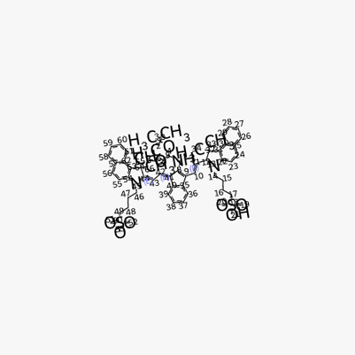 CC(C)(C)OC(=O)NC1=C(/C=C/C2=[N+](CCCCS(=O)(=O)O)c3ccc4ccccc4c3C2(C)C)c2ccccc2/C1=C\C=C1\N(CCCCS(=O)(=O)[O-])c2ccc3ccccc3c2C1(C)C